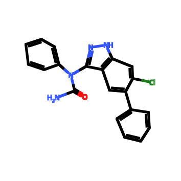 NC(=O)N(c1ccccc1)c1n[nH]c2cc(Cl)c(-c3ccccc3)cc12